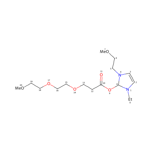 CCN1C=CN(CCOC)C1OC(=O)CCOCCOCCOC